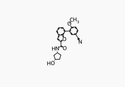 COc1ccc(C#N)cc1-c1cccc2cc(C(=O)N[C@@H]3CC[C@H](O)C3)oc12